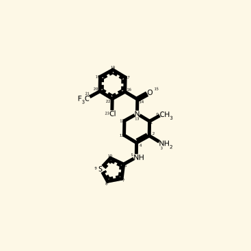 CC1C(N)=C(Nc2ccsc2)CCN1C(=O)c1cccc(C(F)(F)F)c1Cl